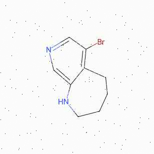 Brc1cncc2c1CCCCN2